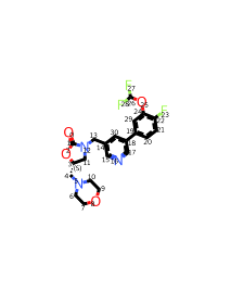 O=C1O[C@@H](CN2CCOCC2)CN1Cc1cncc(-c2ccc(F)c(OC(F)F)c2)c1